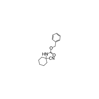 N#CC1(NC(=O)OCc2ccccc2)CCCCC1